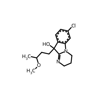 COC(C)CCC1(O)C2=NCCCN2c2cc(Cl)ccc21